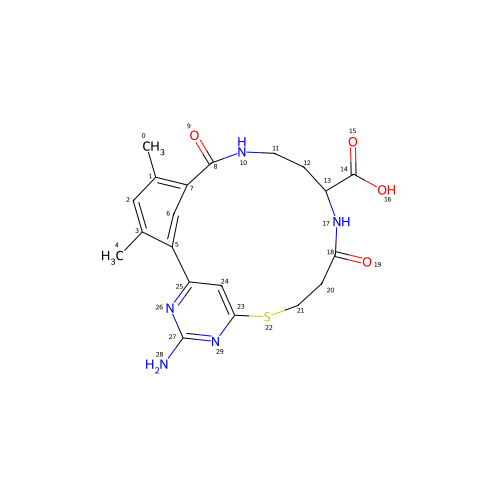 Cc1cc(C)c2cc1C(=O)NCCC(C(=O)O)NC(=O)CCSc1cc-2nc(N)n1